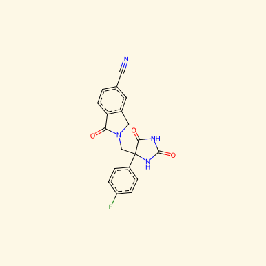 N#Cc1ccc2c(c1)CN(CC1(c3ccc(F)cc3)NC(=O)NC1=O)C2=O